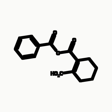 O=C(O)C1=C(C(=O)OC(=O)c2ccccc2)CCCC1